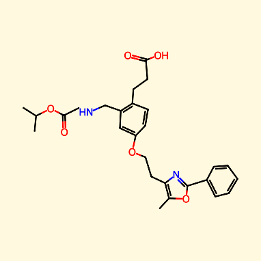 Cc1oc(-c2ccccc2)nc1CCOc1ccc(CCC(=O)O)c(CNCC(=O)OC(C)C)c1